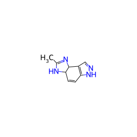 CC1=NC2c3cn[nH]c3C=CC2N1